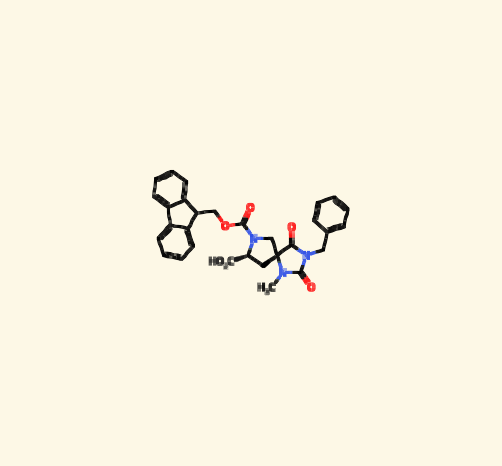 CN1C(=O)N(Cc2ccccc2)C(=O)[C@]12C[C@@H](C(=O)O)N(C(=O)OCC1c3ccccc3-c3ccccc31)C2